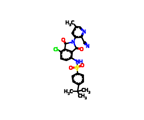 Cc1cnc(C#N)c(N2C(=O)c3c(Cl)ccc(NS(=O)(=O)c4ccc(C(C)(C)C)cc4)c3C2=O)c1